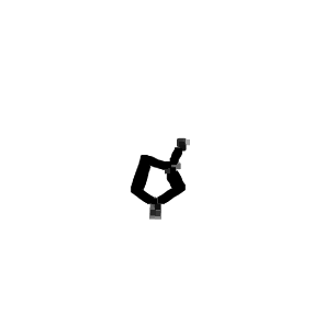 [S-][n+]1cc[nH]c1